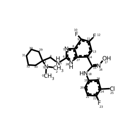 CN(C)C1(CNc2nc3c(F)c(F)cc(/C(=N\O)Nc4ccc(F)c(Cl)c4)c3[nH]2)CCCCC1